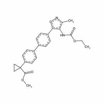 CCOC(=O)Nc1c(C)noc1-c1ccc(-c2ccc(C3(C(=O)OC)CC3)cc2)cc1